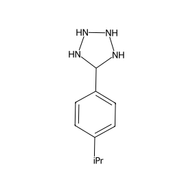 CC(C)c1ccc(C2NNNN2)cc1